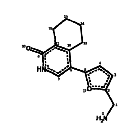 NCc1ccc(-c2c[nH]c(=O)c3c2CCCC3)o1